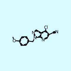 COc1ccc(Cn2ncc3c(Cl)c(C#N)cnc32)cc1